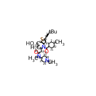 CC1CCC(C(=O)N(c2cc(C#CC(C)(C)C)sc2C(=O)O)[C@@H](C)CC(=O)N(C)C2CCN(C)CC2)CC1